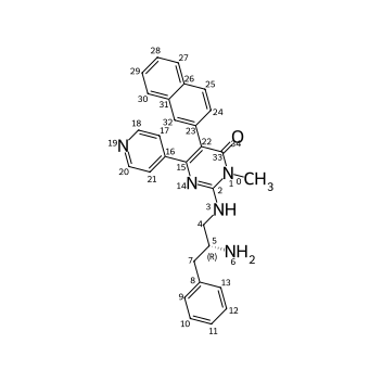 Cn1c(NC[C@H](N)Cc2ccccc2)nc(-c2ccncc2)c(-c2ccc3ccccc3c2)c1=O